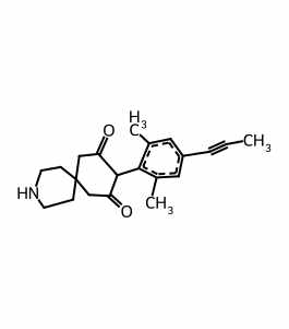 CC#Cc1cc(C)c(C2C(=O)CC3(CCNCC3)CC2=O)c(C)c1